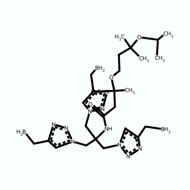 BCc1cn(CC(Cn2cc(CB)nn2)(Cn2cc(CB)nn2)NC(=O)CC(C)(C)OCCC(C)(C)OC(C)C)nn1